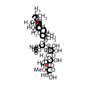 CO[C@@H]1[C@@H](O)[C@H](O[C@@H]2[C@@H](O)[C@H](O[C@H]3[C@H](O)[C@@H](O)[C@H](O[C@H]4[C@H](O[C@H]5CC[C@]6(C)C7=C[C@H](O)[C@]89C(=O)O[C@@](C)([C@@H]%10CCC(C)(C)O%10)[C@@]8(O)CC[C@@]9(C)[C@@H]7CC[C@H]6C5(C)C)OC[C@@H](OS(=O)(=O)[O-])[C@@H]4O)O[C@@H]3C)O[C@H](CO)[C@H]2O)O[C@H](CO)[C@H]1O.[Na+]